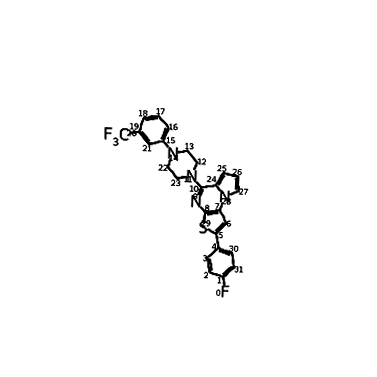 Fc1ccc(-c2cc3c(nc(N4CCN(c5cccc(C(F)(F)F)c5)CC4)c4cccn43)s2)cc1